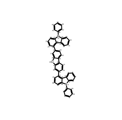 c1ccc(-n2c3ccccc3c3c(-c4ccc5c(c4)oc4cc(-c6cccc7c6c6ccccc6n7-c6ccccc6)ccc45)cccc32)cc1